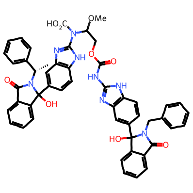 COC(COC(=O)Nc1nc2cc(C3(O)c4ccccc4C(=O)N3Cc3ccccc3)ccc2[nH]1)N(C(=O)O)c1nc2cc(C3(O)c4ccccc4C(=O)N3[C@@H](C)c3ccccc3)ccc2[nH]1